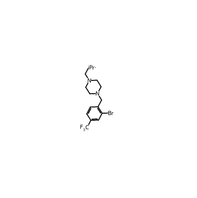 C[C](C)CN1CCN(Cc2ccc(C(F)(F)F)cc2Br)CC1